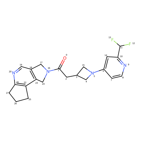 O=C(CC1CN(c2ccnc(C(F)F)c2)C1)N1Cc2cnc3c(c2C1)CCC3